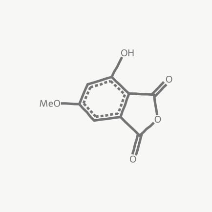 COc1cc(O)c2c(c1)C(=O)OC2=O